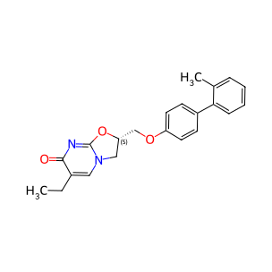 CCc1cn2c(nc1=O)O[C@H](COc1ccc(-c3ccccc3C)cc1)C2